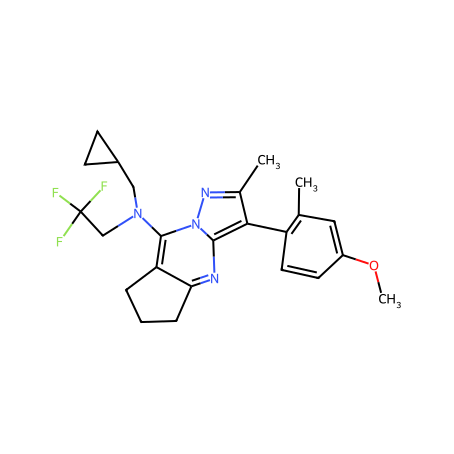 COc1ccc(-c2c(C)nn3c(N(CC4CC4)CC(F)(F)F)c4c(nc23)CCC4)c(C)c1